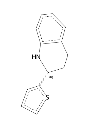 c1csc([C@H]2CCc3ccccc3N2)c1